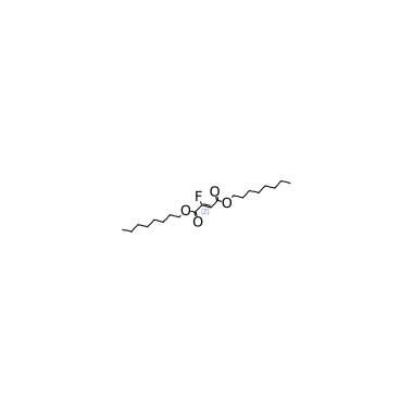 CCCCCCCCOC(=O)/C=C(\F)C(=O)OCCCCCCCC